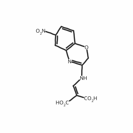 O=C(O)C(=CNC1=Nc2cc([N+](=O)[O-])ccc2OC1)C(=O)O